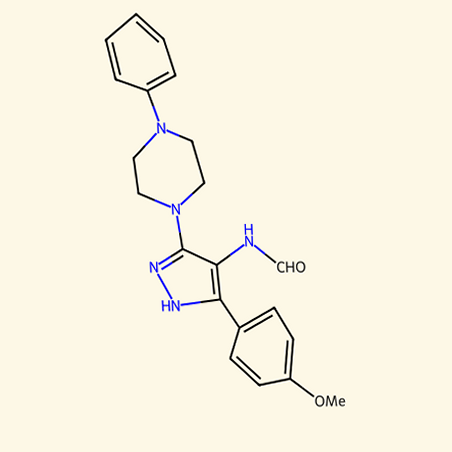 COc1ccc(-c2[nH]nc(N3CCN(c4ccccc4)CC3)c2NC=O)cc1